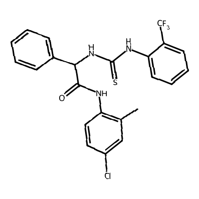 Cc1cc(Cl)ccc1NC(=O)C(NC(=S)Nc1ccccc1C(F)(F)F)c1ccccc1